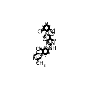 CC1=NCCN(c2ccc(Nc3ncc4c(n3)OCN(c3c(Cl)cccc3Cl)C4=O)cc2Cl)C1